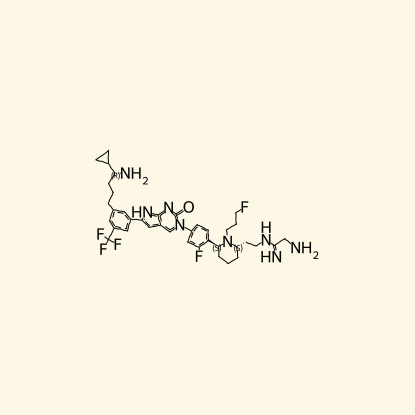 N=C(CN)NCC[C@@H]1CCC[C@@H](c2ccc(-n3cc4cc(-c5cc(CCC[C@@H](N)C6CC6)cc(C(F)(F)F)c5)[nH]c4nc3=O)cc2F)N1CCCF